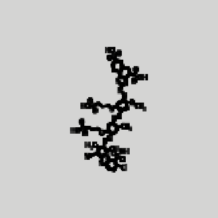 COc1cc(N=Nc2cc(OCCCS(=O)(=O)O)c(N=Nc3c(C)c(C#N)c4nc5ccc(Cl)c(S(=O)(=O)O)c5n4c3O)cc2C)c(SCCCS(=O)(=O)O)cc1N=Nc1nc2c(S(=O)(=O)O)cc3cc(S(=O)(=O)O)ccc3c2s1